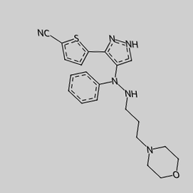 N#Cc1ccc(-c2n[nH]cc2N(NCCCN2CCOCC2)c2ccccc2)s1